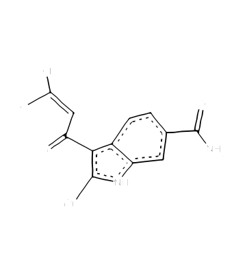 CCCc1[nH]c2cc(C(N)=O)ccc2c1C(=O)C=C(C)C